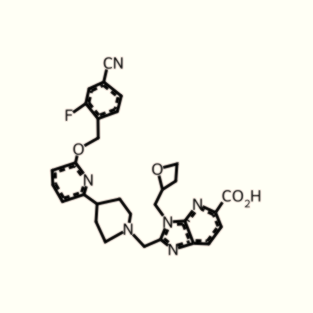 N#Cc1ccc(COc2cccc(C3CCN(Cc4nc5ccc(C(=O)O)nc5n4CC4CCO4)CC3)n2)c(F)c1